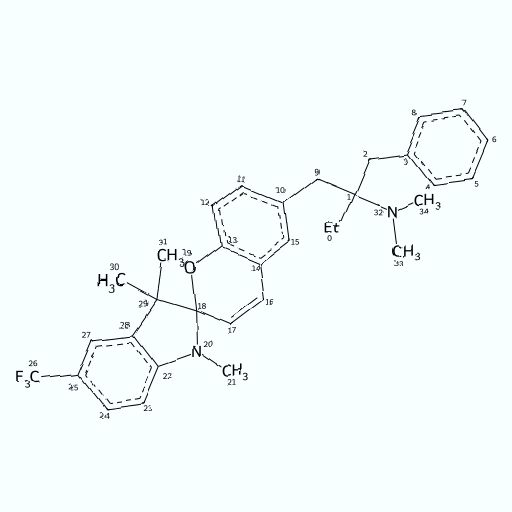 CCC(Cc1ccccc1)(Cc1ccc2c(c1)C=CC1(O2)N(C)c2ccc(C(F)(F)F)cc2C1(C)C)N(C)C